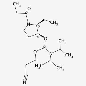 CCC(=O)N1CC[C@H](OP(OCCC#N)N(C(C)C)C(C)C)[C@@H]1CC